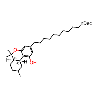 CCCCCCCCCCCCCCCCCCCCc1cc(O)c2c(c1)OC(C)(C)[C@@H]1CCC(C)C[C@@H]21